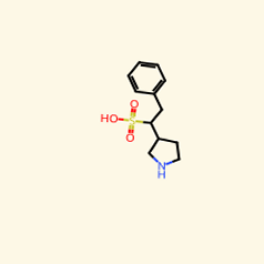 O=S(=O)(O)C(Cc1ccccc1)C1CCNC1